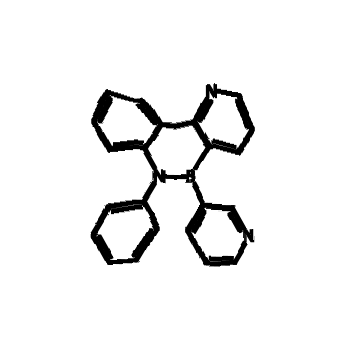 c1ccc(N2B(c3cccnc3)c3cccnc3-c3ccccc32)cc1